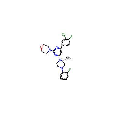 C[C@@H]1CN(c2ccccc2F)CCN1c1cc(-c2ccc(F)c(Cl)c2)nc(N2CCOCC2)n1